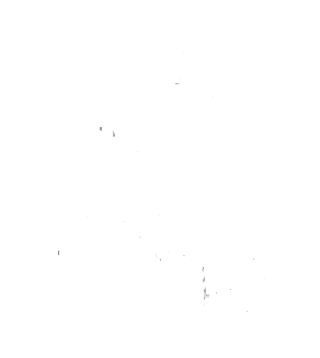 O=C(Nc1cc(F)c(F)c(F)c1)c1ccc(CF)c(S(=O)(=O)N2CCCCC(O)(C3CC3)CC2)c1